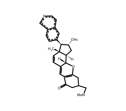 CNCC1CC(=O)C2=C(C1)O[C@@H]1C(=C2)C=C[C@@]2(C)[C@H]1C[C@@H](OC(C)=O)[C@@H]2c1ccc2cnccc2c1